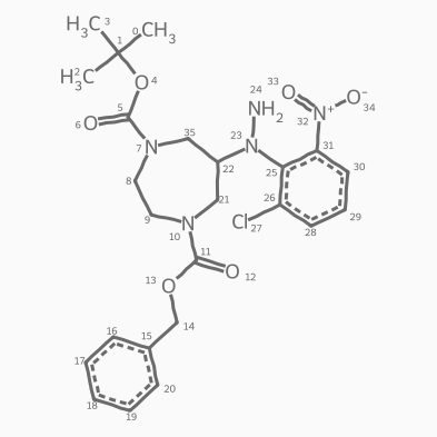 CC(C)(C)OC(=O)N1CCN(C(=O)OCc2ccccc2)CC(N(N)c2c(Cl)cccc2[N+](=O)[O-])C1